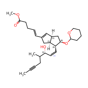 CC#CCC(C)[C@H](O)/C=C\[C@H]1[C@H]2CC(C=CCCC(=O)OC)=C[C@H]2C[C@H]1OC1CCCCO1